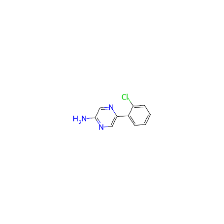 Nc1cnc(-c2ccccc2Cl)cn1